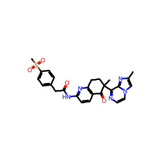 Cc1cn2ccnc(C3(C)CCc4nc(NC(=O)Cc5ccc(S(C)(=O)=O)cc5)ccc4C3=O)c2n1